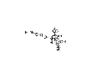 CC(C)(C)OC(=O)CN(CCN(CCN(CC(=O)OC(C)(C)C)CC(=O)OC(C)(C)C)CC(=O)NCCCOCCOCCOCCCN)CC(=O)O